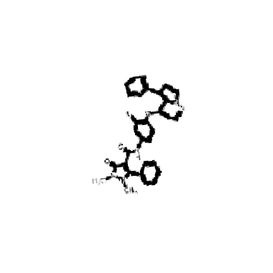 Cn1c(-c2ccccc2)c(C(=O)Nc2ccc(Oc3ccnn4ccc(-c5ccccc5)c34)c(F)c2)c(=O)n1C